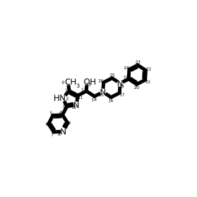 Cc1[nH]c(-c2cccnc2)nc1C(O)CN1CCN(c2ccccc2)CC1